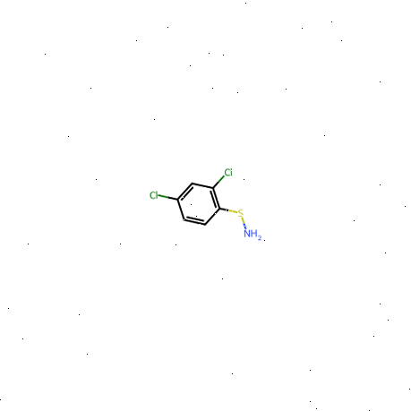 NSc1ccc(Cl)cc1Cl